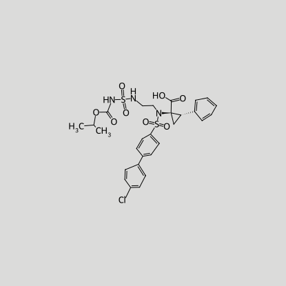 CC(C)OC(=O)NS(=O)(=O)NCCN([C@]1(C(=O)O)C[C@H]1c1ccccc1)S(=O)(=O)c1ccc(-c2ccc(Cl)cc2)cc1